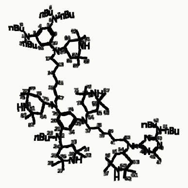 CCCCN(CCCC)c1cc(N(CCCC)CCCC)cc(N(CCCCCCN(c2cc(N(CCCC)C3CC(C)(C)NC(C)(C)C3)cc(N(CCCCCCN(c3nc(C)nc(N(CCCC)CCCC)n3)C3CC(C)(C)NC(C)(C)C3)C3CC(C)(C)NC(C)(C)C3)c2)C2CC(C)(C)NC(C)(C)C2)C2CC(C)(C)NC(C)(C)C2)c1